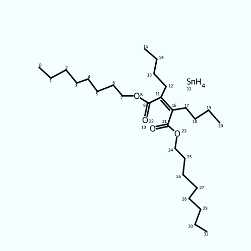 CCCCCCCCOC(=O)/C(CCCC)=C(/CCCC)C(=O)OCCCCCCCC.[SnH4]